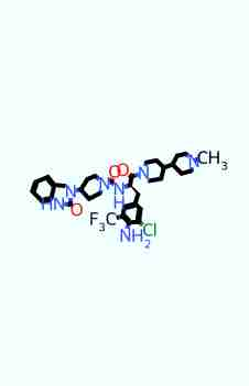 CN1CCC(C2CCN(C(=O)[C@@H](Cc3cc(Cl)c(N)c(C(F)(F)F)c3)NC(=O)N3CCC(N4Cc5ccccc5NC4=O)CC3)CC2)CC1